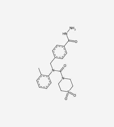 Cc1ccccc1N(Cc1ccc(C(=O)NN)cc1)C(=O)N1CCS(=O)(=O)CC1